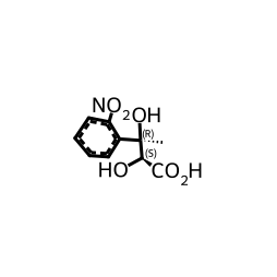 C[C@@](O)(c1ccccc1[N+](=O)[O-])[C@H](O)C(=O)O